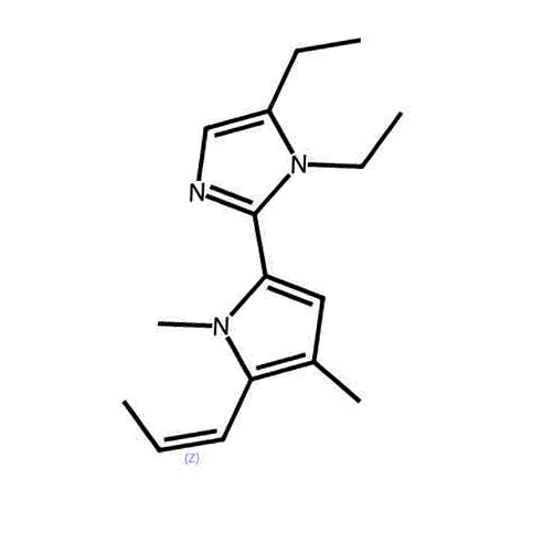 C/C=C\c1c(C)cc(-c2ncc(CC)n2CC)n1C